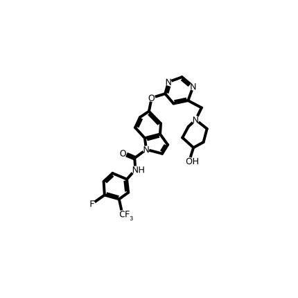 O=C(Nc1ccc(F)c(C(F)(F)F)c1)n1ccc2cc(Oc3cc(CN4CCC(O)CC4)ncn3)ccc21